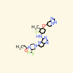 C=CC(=O)N1CCN(c2ccc3ncnc(Nc4ccc(Oc5ccn6ncnc6c5)c(C)c4F)c3n2)C[C@@H]1C(F)F